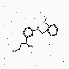 COc1ccccc1CNc1cccc(C(N)CCO)c1